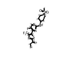 CS(=O)(=O)N1CCC(Nc2ncc(F)c(-c3sc(C(=O)CBr)nc3C(F)(F)F)n2)CC1